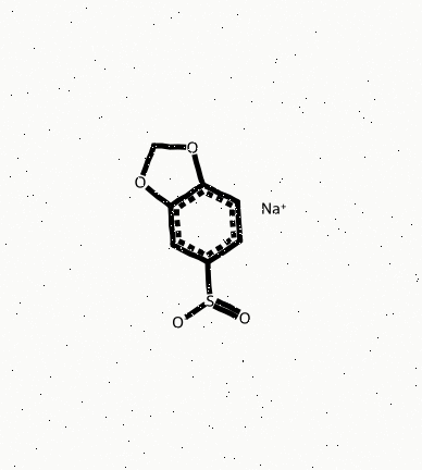 O=S([O-])c1ccc2c(c1)OCO2.[Na+]